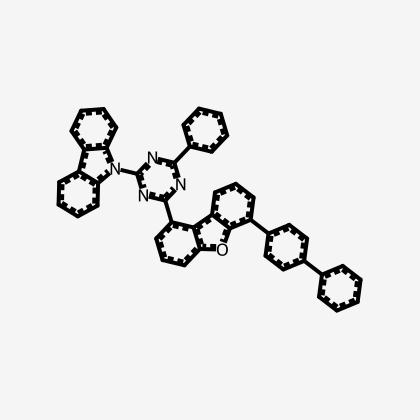 c1ccc(-c2ccc(-c3cccc4c3oc3cccc(-c5nc(-c6ccccc6)nc(-n6c7ccccc7c7ccccc76)n5)c34)cc2)cc1